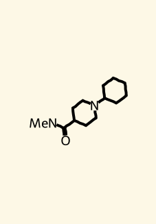 CNC(=O)C1CCN(C2CCCCC2)CC1